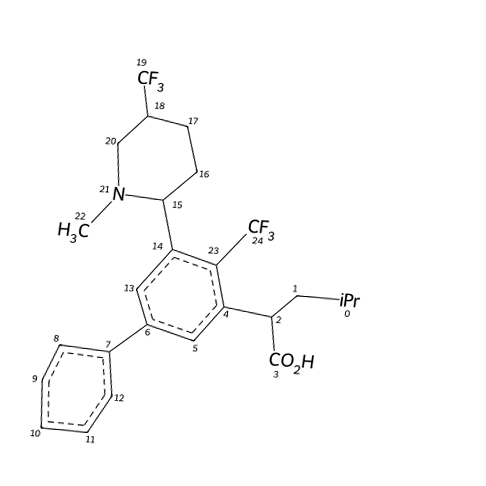 CC(C)CC(C(=O)O)c1cc(-c2ccccc2)cc(C2CCC(C(F)(F)F)CN2C)c1C(F)(F)F